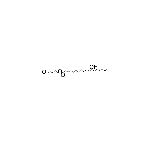 CCCCCCC(O)CCCCCCCCCCC(=O)OCCCCCOC